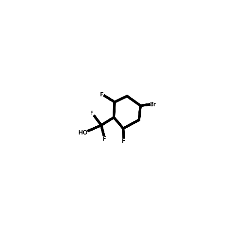 OC(F)(F)C1C(F)CC(Br)CC1F